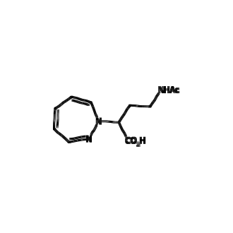 CC(=O)NCCC(C(=O)O)N1C=CC=CC=N1